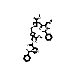 C=N/C=C(/C(=O)OC1(C(=O)OC)CN(CN2CC(COC(=O)c3cncn3[C@H](C)c3ccccc3)(C(=O)OC)C2)C1)N(C)[C@H](C)c1ccccc1